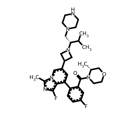 Cc1nc(F)c2c(-c3ccc(F)cc3C(=O)N3CCOC[C@H]3C)cc(C3CN([C@H](CN4CCNCC4)C(C)C)C3)cn12